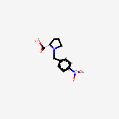 O=C(O)[C@@H]1CCCN1Cc1ccc([N+](=O)[O-])cc1